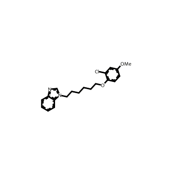 COc1ccc(OCCCCCCn2cnc3ccccc32)c(Cl)c1